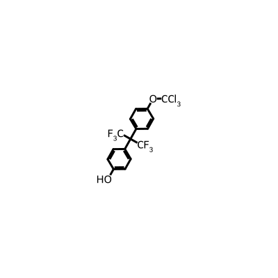 Oc1ccc(C(c2ccc(OC(Cl)(Cl)Cl)cc2)(C(F)(F)F)C(F)(F)F)cc1